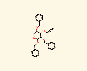 C=C=CO[C@@H]1[C@@H](OCc2ccccc2)[C@@H](OCc2ccccc2)OC[C@H]1OCc1ccccc1